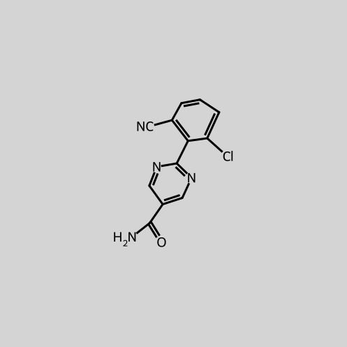 N#Cc1cccc(Cl)c1-c1ncc(C(N)=O)cn1